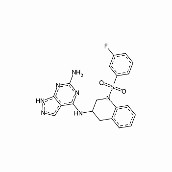 Nc1nc(NC2Cc3ccccc3N(S(=O)(=O)c3cccc(F)c3)C2)c2cn[nH]c2n1